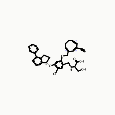 N#CC1=C/C(COc2cc(O[C@H]3CCc4c(-c5ccccc5)cccc43)c(Cl)cc2CNC(CO)C(=O)O)=C\CC/C=C\1